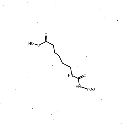 CCCCCCCCNC(=O)NCCCCCC(=O)OO